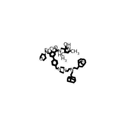 CCN(c1cc(-c2ccc(CN3CCN(CCN(CCC4CC5CC6CCC4C(C6)C5)CCC45CC6CC(CC(C6)C4)C5)CC3)cc2)cc(C(=O)NCc2c(C)cc(C)[nH]c2=O)c1C)C1CCOCC1